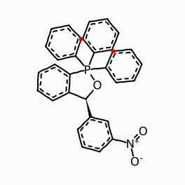 O=[N+]([O-])c1cccc([C@@H]2OP(c3ccccc3)(c3ccccc3)(c3ccccc3)c3ccccc32)c1